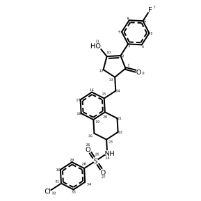 O=C1C(c2ccc(F)cc2)=C(O)CC1Cc1cccc2c1CCC(NS(=O)(=O)c1ccc(Cl)cc1)C2